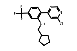 FC(F)(F)c1ccc(-c2cc(Cl)ncn2)c(NCC2CCCC2)c1